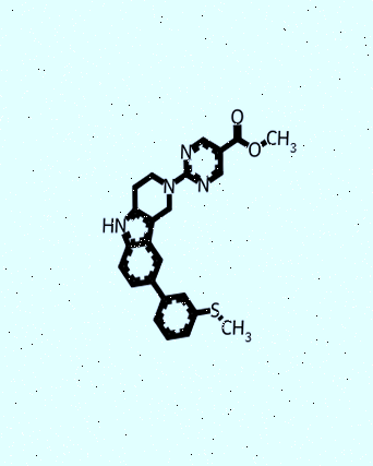 COC(=O)c1cnc(N2CCc3[nH]c4ccc(-c5cccc(SC)c5)cc4c3C2)nc1